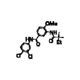 CCC(C)(C)C(=O)Nc1cc(C(=O)Nc2ccc(Cl)c(Cl)c2)ccc1OC